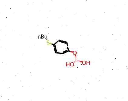 CCCCSc1ccc(OB(O)O)cc1